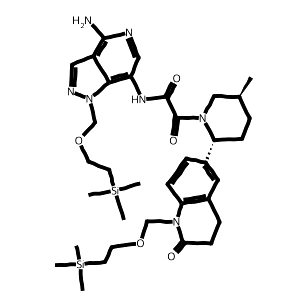 C[C@H]1CC[C@H](c2ccc3c(c2)CCC(=O)N3COCC[Si](C)(C)C)N(C(=O)C(=O)Nc2cnc(N)c3cnn(COCC[Si](C)(C)C)c23)C1